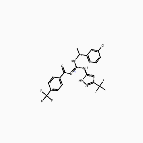 CC(N/C(=N\C(=O)c1ccc(C(F)(F)F)cc1)Nc1cc(C(F)(F)F)n[nH]1)c1cccc(Cl)c1